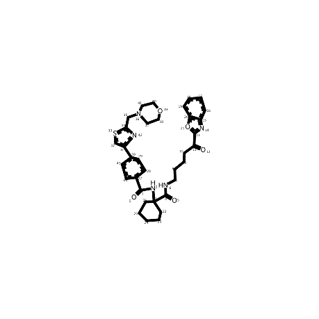 O=C(NC1(C(=O)NCCCCC(=O)c2nc3ccccc3o2)CCCCC1)c1ccc(-c2csc(CN3CCOCC3)n2)cc1